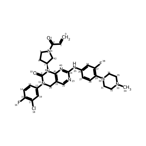 C=CC(=O)N1CC[C@H](N2C(=O)N(c3ccc(F)c(Cl)c3)Cc3cnc(Nc4ccc(N5CCN(C)CC5)c(F)c4)nc32)C1